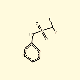 O=S(=O)(Nc1cccnc1)C(F)F